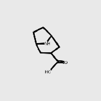 O=C(O)C1CC2CCC(C1)N2